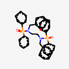 O=P(c1ccccc1)(c1ccccc1)N(CCN(Cc1ccccc1)P(=O)(c1ccccc1)c1ccccc1)Cc1ccccc1